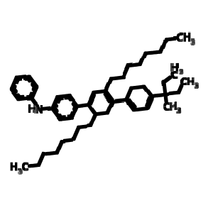 CCCCCCCCC1=C(C2=CC=C(C(C)(CC)CC)CC2)CC(CCCCCCCC)C(c2ccc(Nc3ccccc3)cc2)=C1